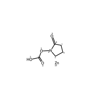 O=C(O)ON1CCCC1=O.[Zn]